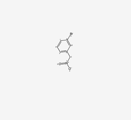 O=[N+]([O-])Cc1cccc(Br)c1